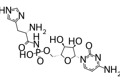 Nc1ccn([C@@H]2O[C@H](COP(=O)(O)NC(=O)[C@@H](N)Cc3c[nH]cn3)[C@@H](O)[C@H]2O)c(=O)n1